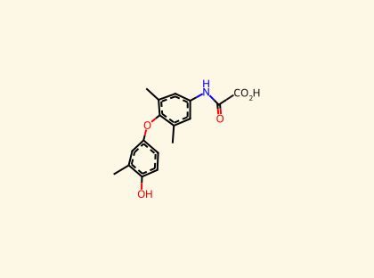 Cc1cc(Oc2c(C)cc(NC(=O)C(=O)O)cc2C)ccc1O